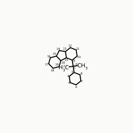 CC(C)(C1CCCCC1)C1CCCC2CC3CCCCC3C21